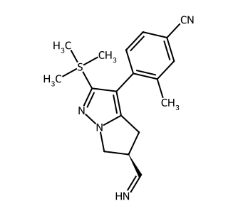 Cc1cc(C#N)ccc1-c1c(S(C)(C)C)nn2c1C[C@@H](C=N)C2